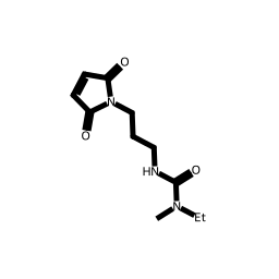 CCN(C)C(=O)NCCCN1C(=O)C=CC1=O